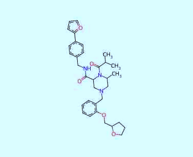 CC(C)C(=O)N1C(C)CN(Cc2ccccc2OCC2CCCO2)CC1C(=O)NCc1ccc(-c2ccco2)cc1